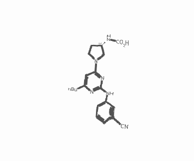 CCCCc1cc(N2CC[C@H](NC(=O)O)C2)nc(Nc2cccc(C#N)c2)n1